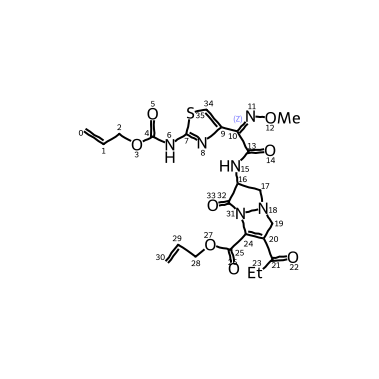 C=CCOC(=O)Nc1nc(/C(=N/OC)C(=O)NC2CN3CC(C(=O)CC)=C(C(=O)OCC=C)N3C2=O)cs1